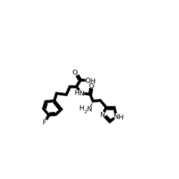 N[C@@H](Cc1c[nH]cn1)C(=O)NC(CCCc1ccc(F)cc1)C(=O)O